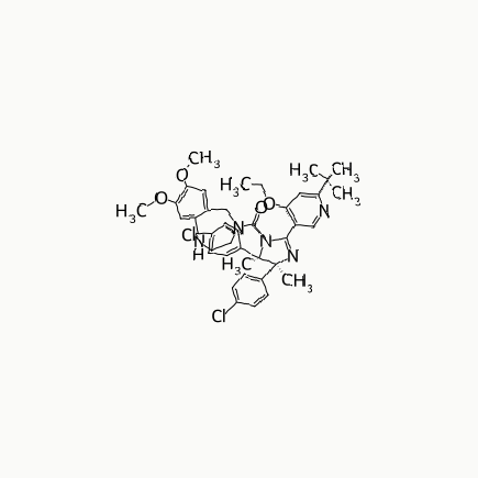 CCOc1cc(C(C)(C)C)ncc1C1=N[C@@](C)(c2ccc(Cl)cc2)[C@@](C)(c2ccc(Cl)cc2)N1C(=O)N1CCNc2cc(OC)c(OC)cc2C1